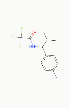 CC(C)C(NC(=O)C(F)(F)F)c1ccc(I)cc1